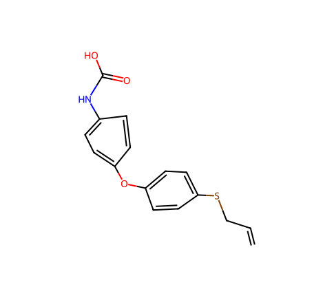 C=CCSc1ccc(Oc2ccc(NC(=O)O)cc2)cc1